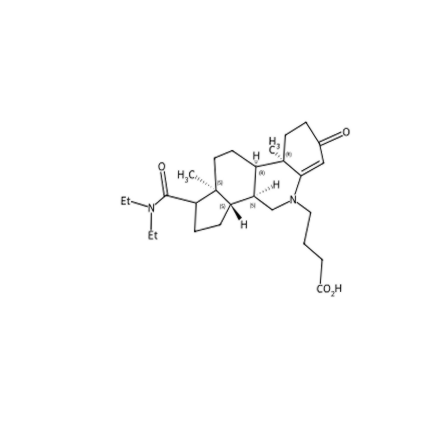 CCN(CC)C(=O)C1CC[C@H]2[C@@H]3CN(CCCC(=O)O)C4=CC(=O)CC[C@]4(C)[C@@H]3CC[C@]12C